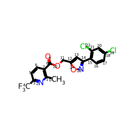 Cc1nc(C(F)(F)F)ccc1C(=O)OCc1cc(-c2ccc(Cl)cc2Cl)no1